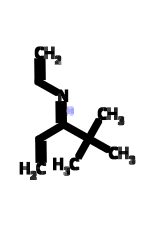 C=C/N=C(\C=C)C(C)(C)C